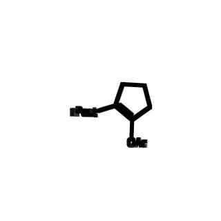 CCCCCC1=C(OC(C)=O)CCC1